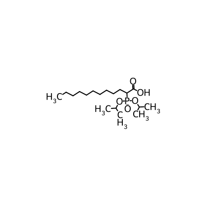 CCCCCCCCCCC(C(=O)O)P(=O)(OC(C)C)OC(C)C